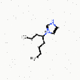 CCCCC(CCC)[n+]1cc[nH]c1